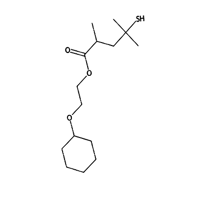 CC(CC(C)(C)S)C(=O)OCCOC1CCCCC1